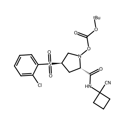 CC(C)(C)OC(=O)ON1C[C@H](S(=O)(=O)c2ccccc2Cl)C[C@H]1C(=O)NC1(C#N)CCC1